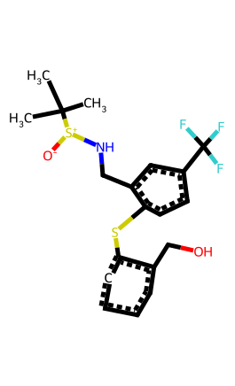 CC(C)(C)[S+]([O-])NCc1cc(C(F)(F)F)ccc1Sc1ccccc1CO